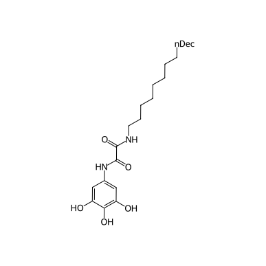 CCCCCCCCCCCCCCCCCCNC(=O)C(=O)Nc1cc(O)c(O)c(O)c1